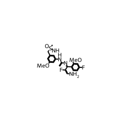 C=C(/N=C(\C(F)=C/N)c1ccc(F)cc1OC)Nc1cc(CS(C)(=N)=O)cc(OC)c1